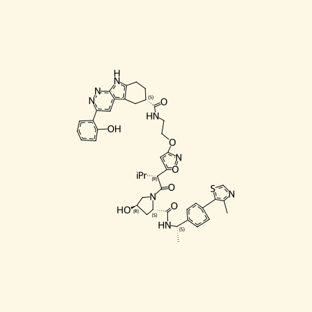 Cc1ncsc1-c1ccc([C@H](C)NC(=O)[C@@H]2C[C@@H](O)CN2C(=O)[C@@H](c2cc(OCCNC(=O)[C@H]3CCc4[nH]c5nnc(-c6ccccc6O)cc5c4C3)no2)C(C)C)cc1